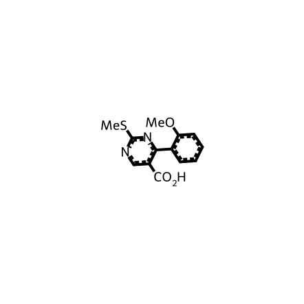 COc1ccccc1-c1nc(SC)ncc1C(=O)O